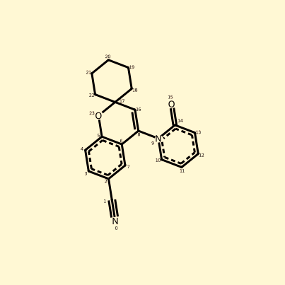 N#Cc1ccc2c(c1)C(n1ccccc1=O)=CC1(CCCCC1)O2